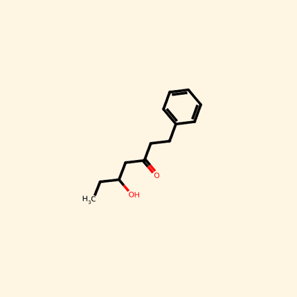 CCC(O)CC(=O)CCc1ccccc1